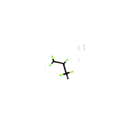 FC(F)C(F)C(F)(F)C(F)(F)F.[KH].[KH]